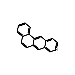 c1ccc2c(c1)ccc1cc3cnccc3cc12